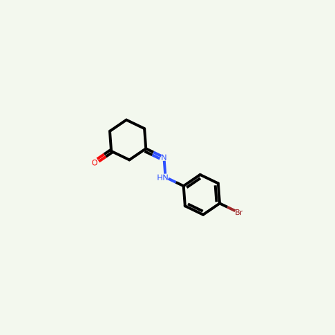 O=C1CCCC(=NNc2ccc(Br)cc2)C1